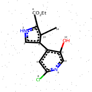 CCOC(=O)c1[nH]cc(-c2cc(Cl)ncc2O)c1C